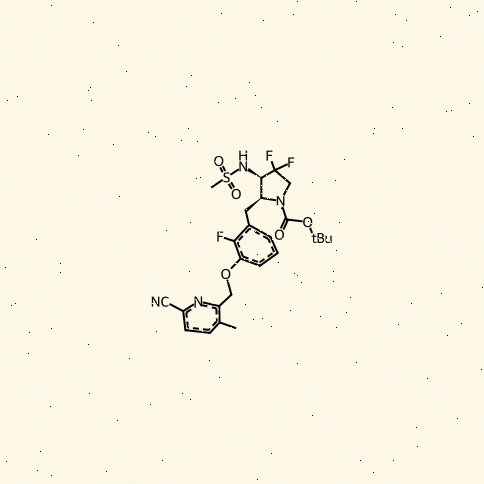 Cc1ccc(C#N)nc1COc1cccc(C[C@H]2[C@@H](NS(C)(=O)=O)C(F)(F)CN2C(=O)OC(C)(C)C)c1F